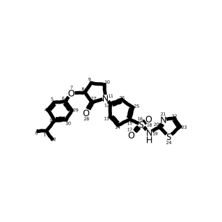 CC(C)c1ccc(OC2CCN(c3ccc(S(=O)(=O)Nc4nccs4)cc3)C2=O)cc1